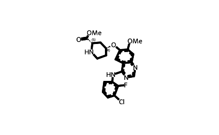 COC(=O)[C@@H]1C[C@H](Oc2cc3c(Nc4cccc(Cl)c4F)ncnc3cc2OC)CCN1